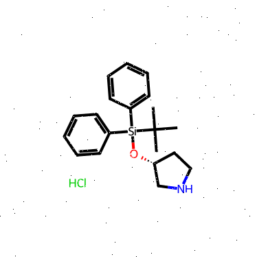 CC(C)(C)[Si](O[C@@H]1CCNC1)(c1ccccc1)c1ccccc1.Cl